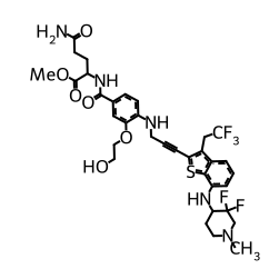 COC(=O)C(CCC(N)=O)NC(=O)c1ccc(NCC#Cc2sc3c(NC4CCN(C)CC4(F)F)cccc3c2CC(F)(F)F)c(OCCO)c1